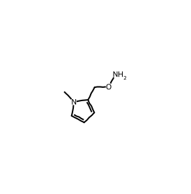 Cn1cccc1CON